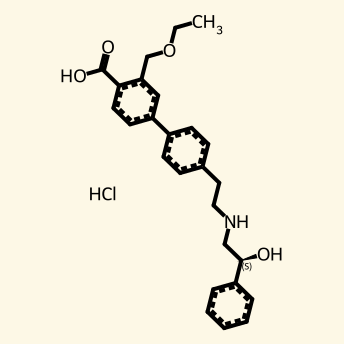 CCOCc1cc(-c2ccc(CCNC[C@@H](O)c3ccccc3)cc2)ccc1C(=O)O.Cl